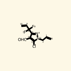 C=CCn1nc(C(F)(F)C=C)c(C=O)c1Cl